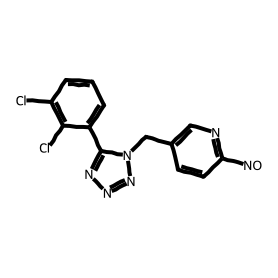 O=Nc1ccc(Cn2nnnc2-c2cccc(Cl)c2Cl)cn1